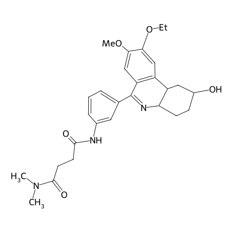 CCOc1cc2c(cc1OC)C(c1cccc(NC(=O)CCC(=O)N(C)C)c1)=NC1CCC(O)CC21